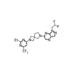 CCc1nc(N2CC3(CCN(c4cnc5cnn(CC(F)F)c5n4)C3)C2)cc(C(F)(F)F)n1